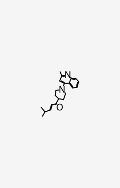 Cc1cc(N2CCC(C(=O)C=CC(C)C)CC2)c2ccccc2n1